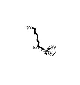 CC(C)CCCCCCCOP(=O)(O)O.[NaH]